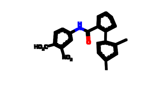 Cc1ccc(-c2ccccc2C(=O)Nc2ccc(C(=O)O)c([N+](=O)[O-])c2)c(C)c1